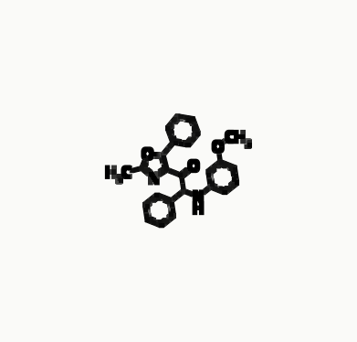 COc1cccc(NC(C(=O)c2nc(C)oc2-c2ccccc2)c2ccccc2)c1